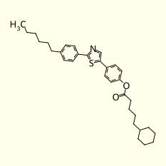 CCCCCCc1ccc(-c2ncc(-c3ccc(OC(=O)CCCCC4CCCCC4)cc3)s2)cc1